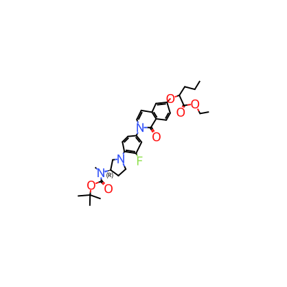 CCCC(Oc1ccc2c(=O)n(-c3ccc(N4CC[C@@H](N(C)C(=O)OC(C)(C)C)C4)c(F)c3)ccc2c1)C(=O)OCC